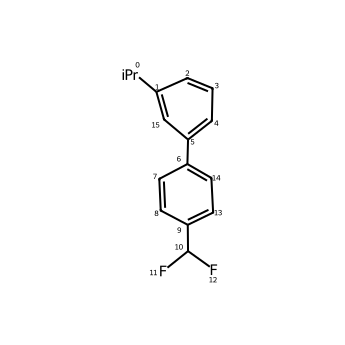 CC(C)c1cccc(-c2ccc(C(F)F)cc2)c1